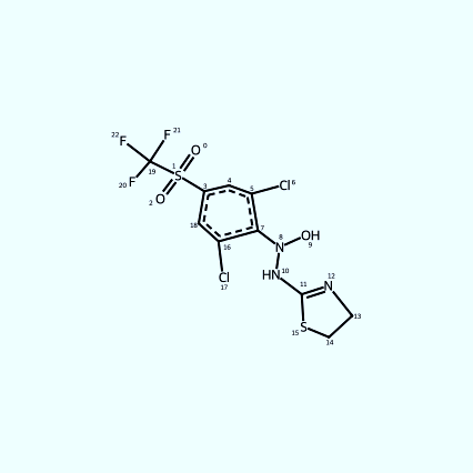 O=S(=O)(c1cc(Cl)c(N(O)NC2=NCCS2)c(Cl)c1)C(F)(F)F